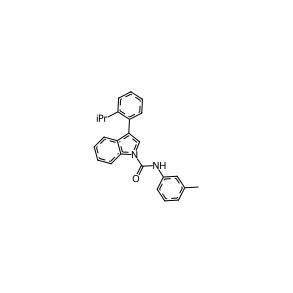 Cc1cccc(NC(=O)n2cc(-c3ccccc3C(C)C)c3ccccc32)c1